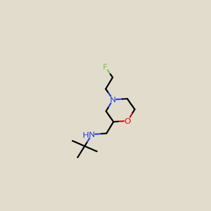 CC(C)(C)NCC1CN(CCF)CCO1